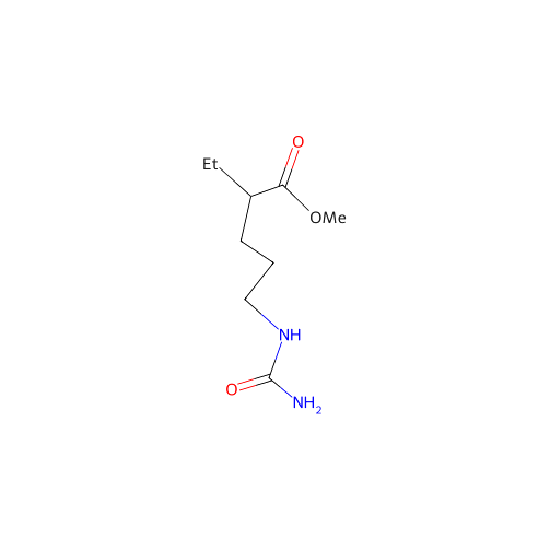 CCC(CCCNC(N)=O)C(=O)OC